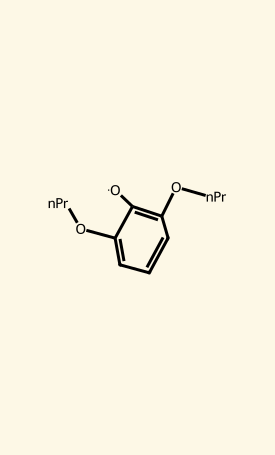 CCCOc1cccc(OCCC)c1[O]